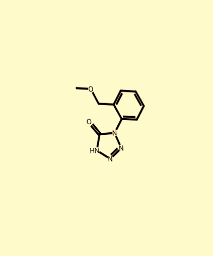 COCc1ccccc1-n1nn[nH]c1=O